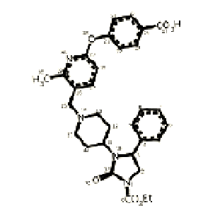 CCOC(=O)N1CC(c2ccccc2)N(C2CCN(Cc3ccc(Oc4ccc(C(=O)O)cc4)nc3C)CC2)C1=O